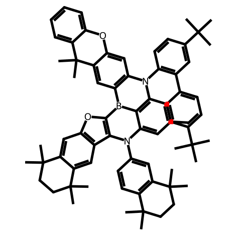 Cc1cc2c3c(c1)N(c1ccc4c(c1)C(C)(C)CCC4(C)C)c1c(oc4cc5c(cc14)C(C)(C)CCC5(C)C)B3c1cc3c(cc1N2c1ccc(C(C)(C)C)cc1-c1ccc(C(C)(C)C)cc1)Oc1ccccc1C3(C)C